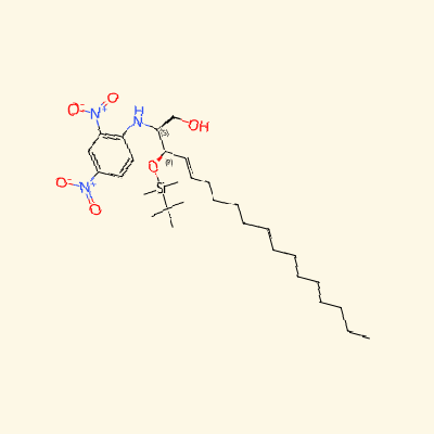 CCCCCCCCCCCCCC=C[C@@H](O[Si](C)(C)C(C)(C)C)[C@H](CO)Nc1ccc([N+](=O)[O-])cc1[N+](=O)[O-]